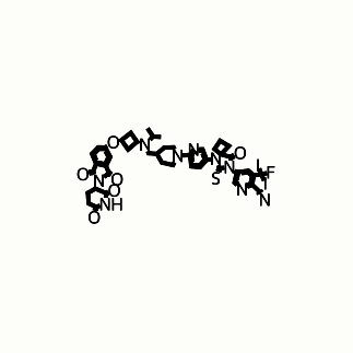 CC(C)N(CC1CCN(c2ccc(N3C(=S)N(c4cnc(C#N)c(C(F)(I)I)c4)C(=O)C34CCC4)cn2)CC1)[C@H]1C[C@H](Oc2ccc3c(c2)C(=O)N(C2CCC(=O)NC2=O)C3=O)C1